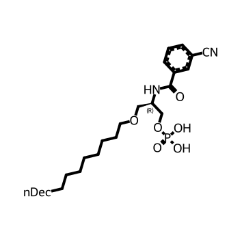 CCCCCCCCCCCCCCCCCCOC[C@H](COP(=O)(O)O)NC(=O)c1cccc(C#N)c1